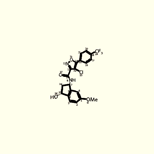 COc1ccc2c(c1)[C@@H](NC(=O)c1noc(-c3ccc(C(F)(F)F)cc3)c1Cl)C[C@H]2O